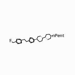 CCCCC[C@H]1CC[C@H]([C@H]2CC[C@H](c3ccc(CCc4ccc(CF)cc4)cc3)CC2)CC1